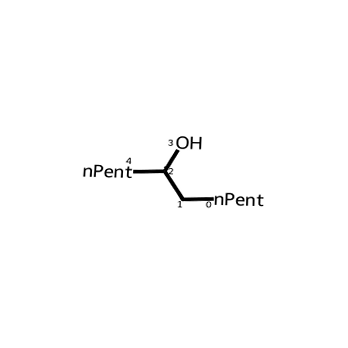 CCCCCC[C](O)CCCCC